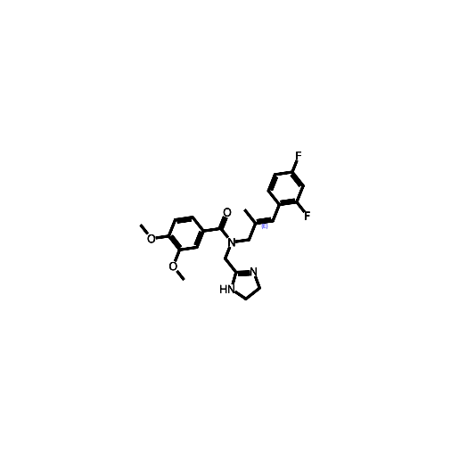 COc1ccc(C(=O)N(CC2=NCCN2)C/C(C)=C/c2ccc(F)cc2F)cc1OC